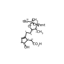 CCCCCC(C)C(CCC1=CC[C@H](O)[C@@H]1CC(=O)O)O[Si](C)(C)C(C)(C)C